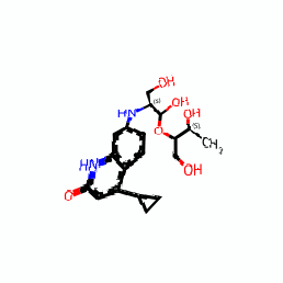 C[C@H](O)C(CO)OC(O)[C@H](CO)Nc1ccc2c(C3CC3)cc(=O)[nH]c2c1